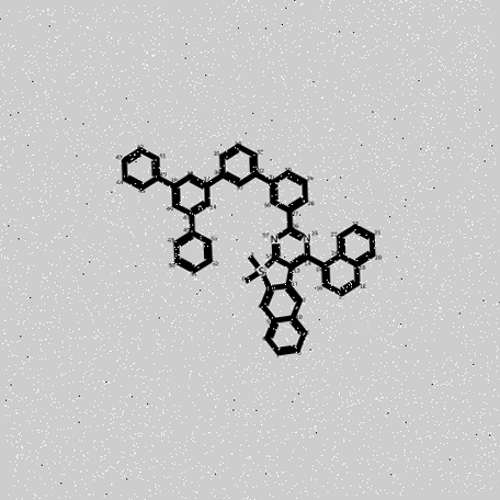 C[Si]1(C)c2cc3ccccc3cc2-c2c(-c3cccc4ccccc34)nc(-c3cccc(-c4cccc(-c5cc(-c6ccccc6)cc(-c6ccccc6)c5)c4)c3)nc21